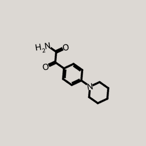 NC(=O)C(=O)c1ccc(N2CCCCC2)cc1